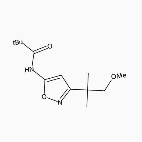 COCC(C)(C)c1cc(NC(=O)C(C)(C)C)on1